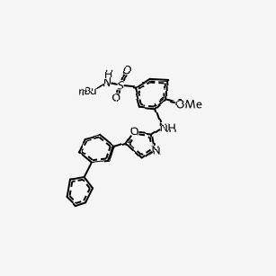 CCCCNS(=O)(=O)c1ccc(OC)c(Nc2ncc(-c3cccc(-c4ccccc4)c3)o2)c1